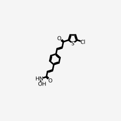 O=C(C=Cc1ccc(C=CC(=O)c2ccc(Cl)s2)cc1)NO